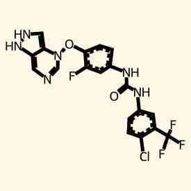 O=C(Nc1ccc(ON2C=NC=C3NNC=C32)c(F)c1)Nc1ccc(Cl)c(C(F)(F)F)c1